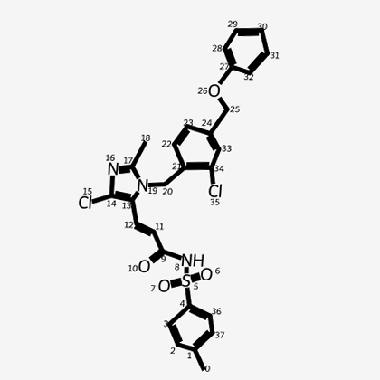 Cc1ccc(S(=O)(=O)NC(=O)C=Cc2c(Cl)nc(C)n2Cc2ccc(COc3ccccc3)cc2Cl)cc1